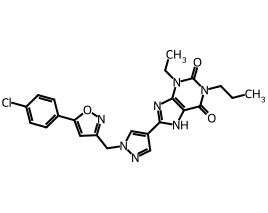 CCCn1c(=O)c2[nH]c(-c3cnn(Cc4cc(-c5ccc(Cl)cc5)on4)c3)nc2n(CC)c1=O